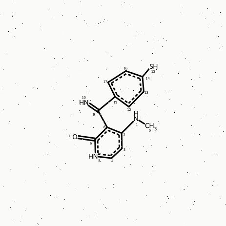 CNc1cc[nH]c(=O)c1C(=N)c1ccc(S)cc1